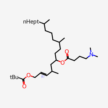 CCCCCCCC(C)CCCC(C)CCC(CC(C)/C=C/COC(=O)C(C)(C)C)OC(=O)CCCN(C)C